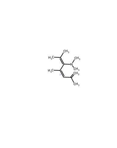 C=C(C)/C=C(/C)C(=C(C)C)N(C)C